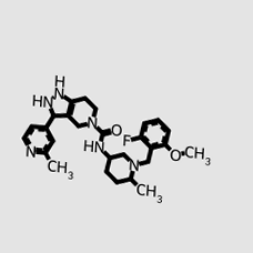 COc1cccc(F)c1CN1CC(NC(=O)N2CCC3=C(C2)C(c2ccnc(C)c2)NN3)CCC1C